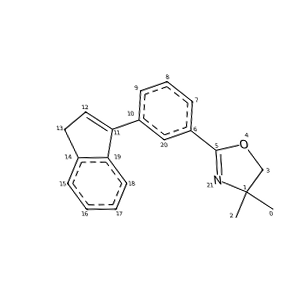 CC1(C)COC(c2cccc(C3=CCc4ccccc43)c2)=N1